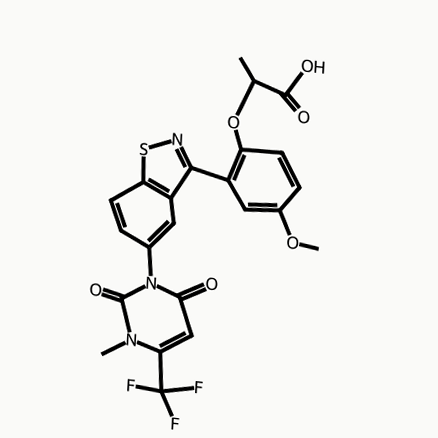 COc1ccc(OC(C)C(=O)O)c(-c2nsc3ccc(-n4c(=O)cc(C(F)(F)F)n(C)c4=O)cc23)c1